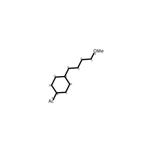 COCCCCC1CCC(C(C)=O)CC1